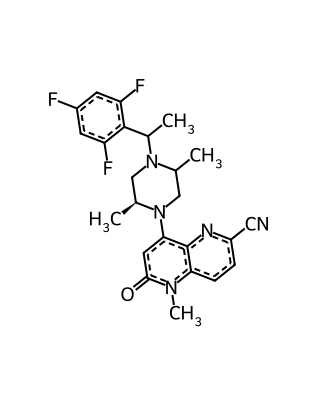 CC1CN(c2cc(=O)n(C)c3ccc(C#N)nc23)[C@@H](C)CN1C(C)c1c(F)cc(F)cc1F